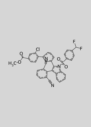 COC(=O)c1ccc(-c2cccc(-c3c(-c4c(C#N)cccc4C#N)c4ccccc4n3S(=O)(=O)c3ccc(C(F)F)cc3)c2)c(Cl)c1